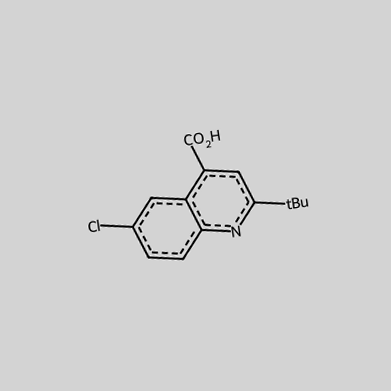 CC(C)(C)c1cc(C(=O)O)c2cc(Cl)ccc2n1